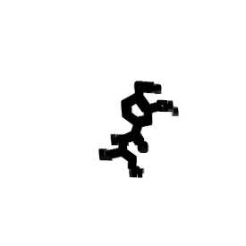 CCC(CC(C)C)NC(=O)c1ccc(OC)c(C)c1